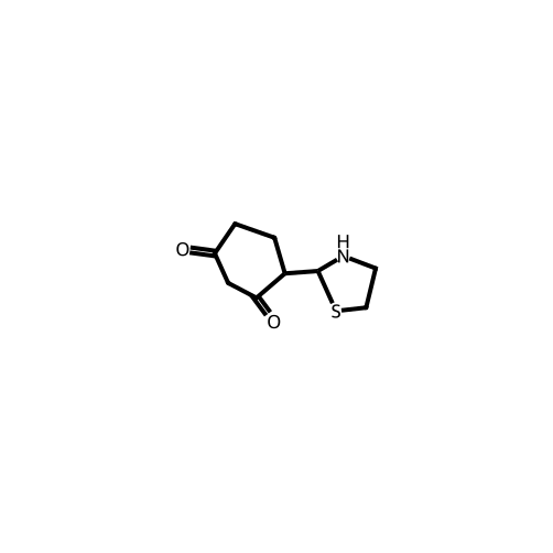 O=C1CCC(C2NCCS2)C(=O)C1